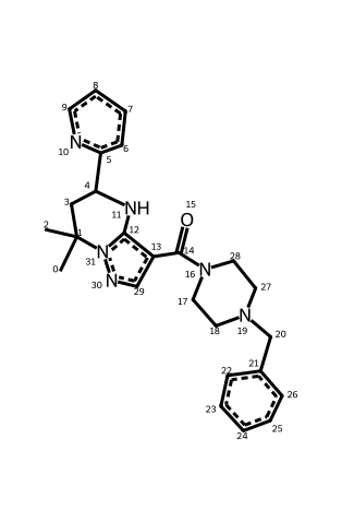 CC1(C)CC(c2ccccn2)Nc2c(C(=O)N3CCN(Cc4ccccc4)CC3)cnn21